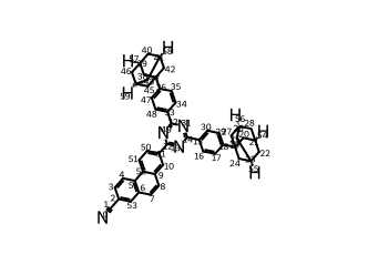 N#Cc1ccc2c(ccc3cc(-c4nc(-c5ccc(C67C[C@H]8C[C@H](C6)C[C@@H](C7)C8)cc5)nc(-c5ccc(C67C[C@H]8C[C@H](C6)C[C@@H](C7)C8)cc5)n4)ccc32)c1